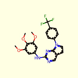 COc1cc(Nc2ncc3ccn(-c4ccc(C(F)(F)F)cc4)c3n2)cc(OC)c1OC